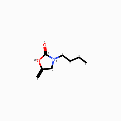 C=C1CN(CCCC)C(=O)O1